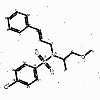 COCC(C)N(CC=Cc1ccccc1)S(=O)(=O)c1ccc(Cl)cc1